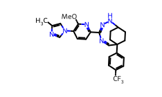 COc1nc(C2=NNC3CCC(c4ccc(C(F)(F)F)cc4)(C=N2)CC3)ccc1-n1cnc(C)c1